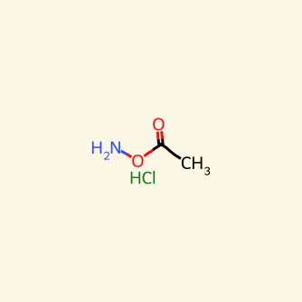 CC(=O)ON.Cl